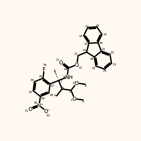 COC(OC)C(C)[C@](C)(NC(=O)OCC1c2ccccc2-c2ccccc21)c1cc([N+](=O)[O-])ccc1F